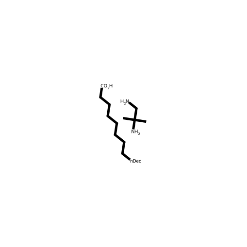 CC(C)(N)CN.CCCCCCCCCCCCCCCCCC(=O)O